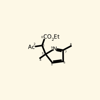 CCOC(=O)C(C(C)=O)C1(C)C=CC(C)=N1